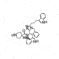 NC1(C(=O)N[C@H](Cc2c[nH]c3ccccc23)c2nnc(CCCc3c[nH]c4ccccc34)n2Cc2ccccc2)CCNCC1